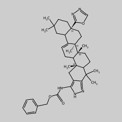 CC1(C)CC[C@]2(c3nnco3)CC[C@]3(C)C(=CCC4[C@@]5(C)Cc6c(n[nH]c6NC(=O)OCc6ccccc6)C(C)(C)C5CC[C@]43C)C2C1